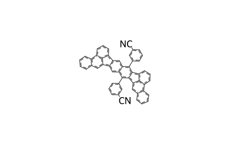 N#Cc1cccc(-c2c3cc4c(cc3c(-c3cccc(C#N)c3)c3c5cc6ccccc6c6cccc(c23)c65)c2cc3ccccc3c3cccc4c32)c1